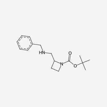 CC(C)(C)OC(=O)N1CCC1CNCc1ccccc1